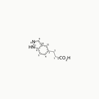 O=C(O)CCc1ccc2[nH]ncc2c1